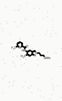 COCCCn1cc2cc(NC(=O)c3cccc(C(F)(F)F)n3)c(C)cc2n1